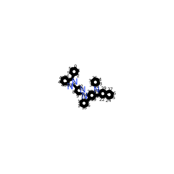 c1ccc(-c2nc(-c3ccc(-n4c5ccccc5c5cc6c7cc8ccccc8cc7n(-c7ccccc7)c6cc54)nc3)nc3ccccc23)cc1